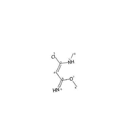 CN/C(Cl)=C\C(=N)OC